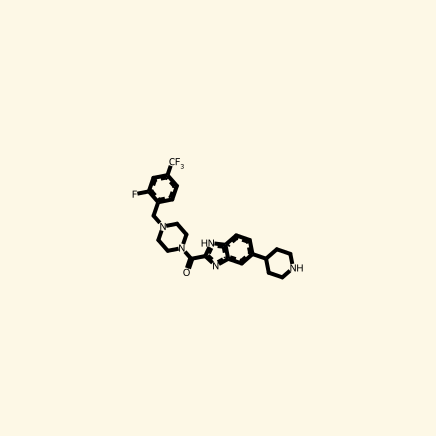 O=C(c1nc2cc(C3CCNCC3)ccc2[nH]1)N1CCN(Cc2ccc(C(F)(F)F)cc2F)CC1